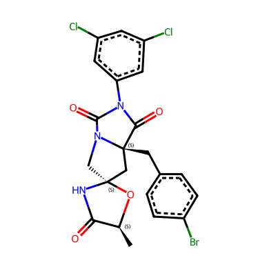 C[C@@H]1O[C@@]2(CN3C(=O)N(c4cc(Cl)cc(Cl)c4)C(=O)[C@]3(Cc3ccc(Br)cc3)C2)NC1=O